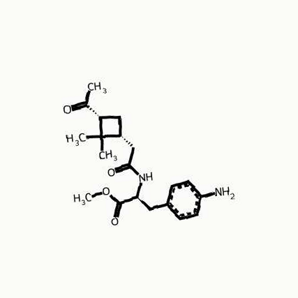 COC(=O)[C@H](Cc1ccc(N)cc1)NC(=O)C[C@H]1C[C@@H](C(C)=O)C1(C)C